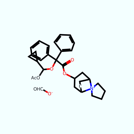 CC(=O)OC(OC(C(=O)OC1CC2CCC(C1)[N+]21CCCC1)(c1ccccc1)c1ccccc1)C1CC1.O=C[O-]